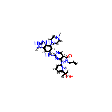 C=CCn1c(=O)c2cnc(Nc3cc(N4CCN(C)CC4)c4c(c3)N(C)NN4)nc2n1-c1cccc(C(C)(C)O)n1